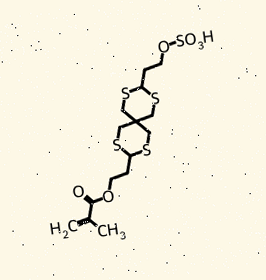 C=C(C)C(=O)OCCC1SCC2(CS1)CSC(CCOS(=O)(=O)O)SC2